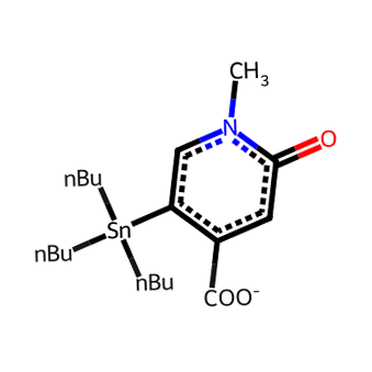 CCC[CH2][Sn]([CH2]CCC)([CH2]CCC)[c]1cn(C)c(=O)cc1C(=O)[O-]